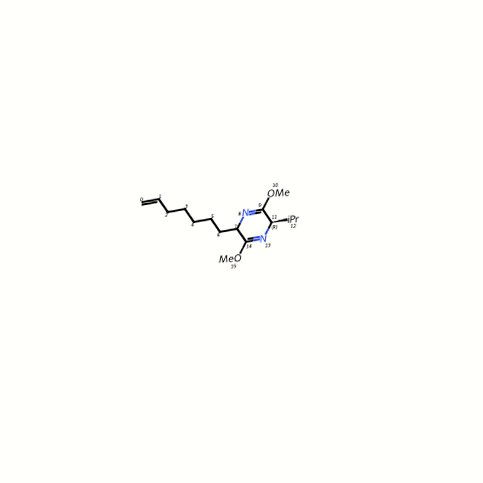 C=CCCCCCC1N=C(OC)[C@@H](C(C)C)N=C1OC